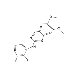 COc1cc2cnc(Nc3cccc(F)c3F)nc2cc1OC